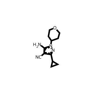 N#Cc1c(C2CC2)nn(C2CCOCC2)c1N